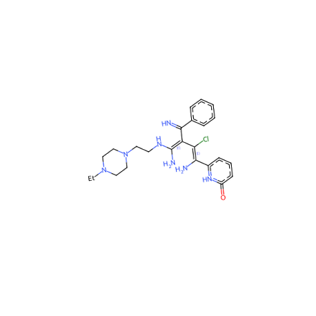 CCN1CCN(CCN/C(N)=C(C(=N)c2ccccc2)/C(Cl)=C(\N)c2cccc(=O)[nH]2)CC1